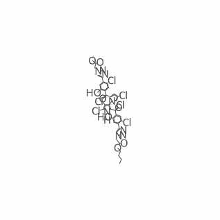 CCCCOC(=O)Cn1cc(-c2cc(O)c(C(=O)c3[nH]c(Cl)c(Cl)c3-n3c(C(=O)c4cc(Cl)c(-c5cn(CC(=O)OC)nn5)cc4O)cc(Cl)c3Cl)cc2Cl)nn1